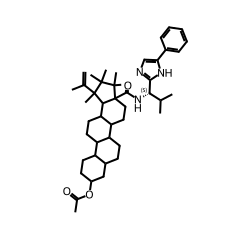 C=C(C)C1(C)C2C3CCC4C5CCC(OC(C)=O)CC5CCC4C3CCC2(C(=O)N[C@H](c2ncc(-c3ccccc3)[nH]2)C(C)C)C(C)(C)C1(C)C